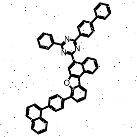 c1ccc(-c2ccc(-c3nc(-c4ccccc4)nc(-c4cc5oc6c(-c7ccc(-c8cccc9ccccc89)cc7)cccc6c5c5ccccc45)n3)cc2)cc1